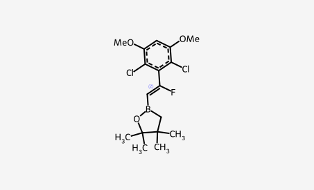 COc1cc(OC)c(Cl)c(/C(F)=C/B2CC(C)(C)C(C)(C)O2)c1Cl